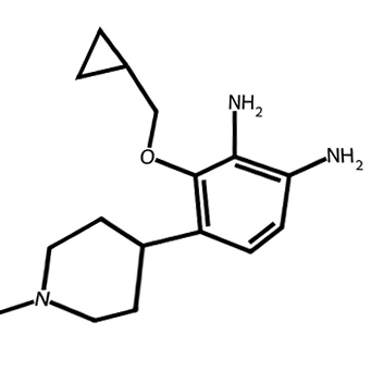 CN1CCC(c2ccc(N)c(N)c2OCC2CC2)CC1